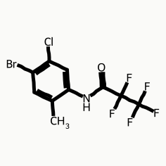 Cc1cc(Br)c(Cl)cc1NC(=O)C(F)(F)C(F)(F)F